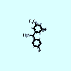 NC(c1ccc(F)cc1)c1cc(F)cc(C(F)(F)F)c1